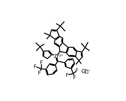 CC(C)(C)C1=CC[C]([Zr+2](=[C](c2cccc(C(F)(F)F)c2)c2cccc(C(F)(F)F)c2)[CH]2c3cc4c(cc3-c3cc5c(cc32)C(C)(C)C=C5C(C)(C)C)C(C(C)(C)C)=CC4(C)C)=C1.[Cl-].[Cl-]